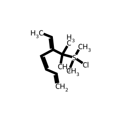 C=C/C=C\C(=C/C)C(C)(C)S(C)(C)Cl